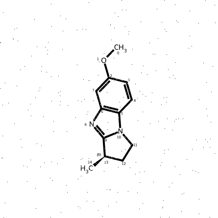 COc1ccc2c(c1)nc1n2CC[C@H]1C